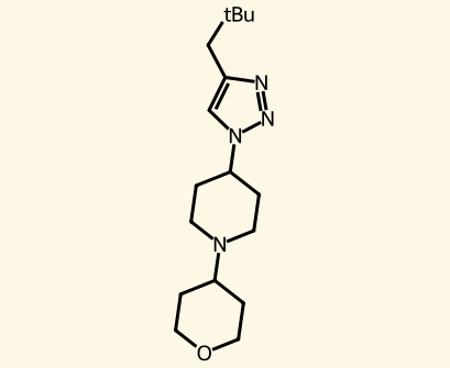 CC(C)(C)Cc1cn(C2CCN(C3CCOCC3)CC2)nn1